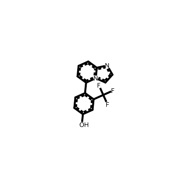 Oc1ccc(-c2cccc3nccn23)c(C(F)(F)F)c1